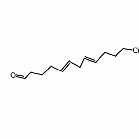 CCCC/C=C/C/C=C/CCCC=O